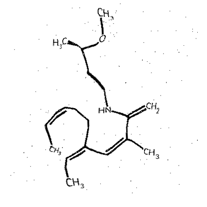 C=C(NCC[C@@H](C)OC)/C(C)=C\C(=C/C)C/C=C\C